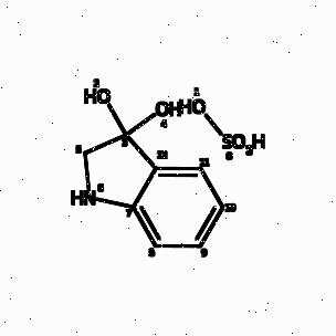 O=S(=O)(O)O.OC1(O)CNc2ccccc21